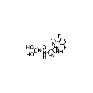 O=C(Nc1cnc2[nH]nc(N3CCC[C@@H]3c3cc(F)ccc3F)c2c1)N1C[C@@H](O)[C@H](O)C1